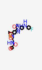 CNC(=O)c1c2cc(C3CC3)c(N(CCCNC(=O)c3ccoc3)S(C)(=O)=O)cc2nn1-c1ccc(Nc2ccc(F)cc2)cc1